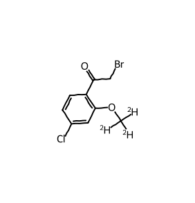 [2H]C([2H])([2H])Oc1cc(Cl)ccc1C(=O)CBr